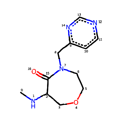 CNC1COCCN(Cc2ccncn2)C1=O